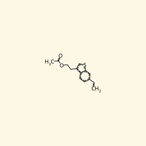 C=Cc1ccc2c(CCOC(C)=O)csc2c1